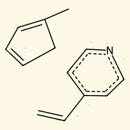 C=Cc1ccncc1.CC1=CC=CC1